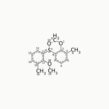 COc1c(C)cccc1[S+]([O-])c1cccc(C)c1OC